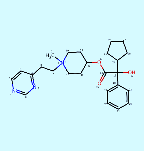 C[N+]1(CCc2ccncn2)CCC(OC(=O)C(O)(c2ccccc2)C2CCCC2)CC1